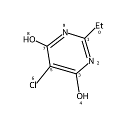 CCc1nc(O)c(Cl)c(O)n1